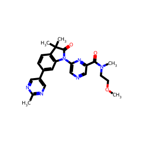 COCCN(C)C(=O)c1cncc(N2C(=O)C(C)(C)c3ccc(-c4cnc(C)nc4)cc32)n1